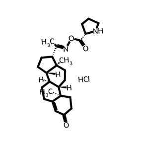 CC(=NOC(=O)[C@@H]1CCCN1)[C@H]1CC[C@H]2[C@@H]3CCC4=CC(=O)CC[C@]4(C)[C@H]3CC[C@]12C.Cl